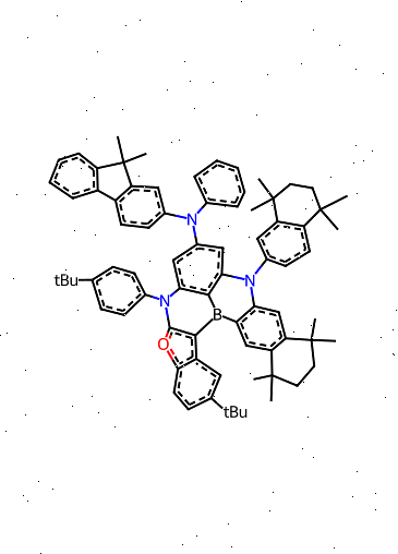 CC(C)(C)c1ccc(N2c3cc(N(c4ccccc4)c4ccc5c(c4)C(C)(C)c4ccccc4-5)cc4c3B(c3cc5c(cc3N4c3ccc4c(c3)C(C)(C)CCC4(C)C)C(C)(C)CCC5(C)C)c3c2oc2ccc(C(C)(C)C)cc32)cc1